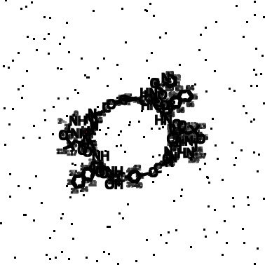 CN[C@@H](C)C(=O)N[C@H](C(=O)N1C[C@@H]2C[C@H]1C(=O)N[C@@H](Cc1ccc3ccccc3c1)C(=O)N[C@H](C(=O)O)Cc1ccc(cc1)OCc1cn(nn1)[C@H]1C[C@@H](C(=O)N[C@@H](Cc3ccc4ccccc4c3)C(=O)N[C@H](C(=O)NS(=O)(=O)c3ccccn3)Cc3ccc(cc3)OCc3cn2nn3)N(C(=O)[C@@H](NC(=O)[C@H](C)NC)C(C)(C)C)C1)C(C)(C)C